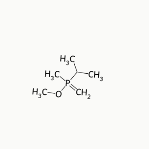 C=P(C)(OC)C(C)C